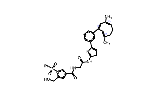 CC1=C/CC/C(C)=C/C(c2cccc(C3=CCC(NC(=O)CNC(=O)c4cc(CO)n(S(=O)(=O)C(C)C)c4)=N3)c2)=C\1